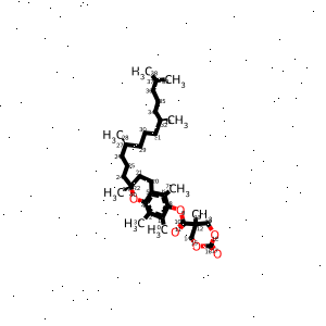 Cc1c(C)c2c(c(C)c1OC(=O)C1(C)COC(=O)OC1)CC[C@@](C)(CCC[C@H](C)CCC[C@H](C)CCCC(C)C)O2